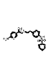 Nc1ccc(C(O)CNCCc2ccc(NS(=O)(=O)c3ccccc3)cc2)cn1